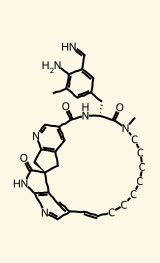 Cc1cc(C[C@H]2NC(=O)c3cnc4c(c3)C[C@@]3(C4)C(=O)Nc4ncc(cc43)/C=C/CCCCCCCN(C)C2=O)cc(C=N)c1N